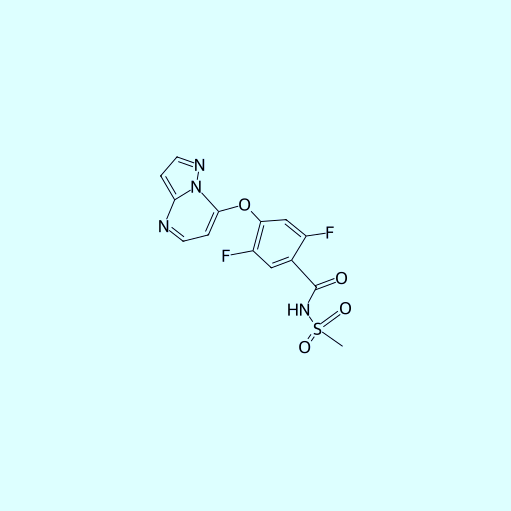 CS(=O)(=O)NC(=O)c1cc(F)c(Oc2ccnc3ccnn23)cc1F